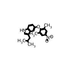 Cc1cc([N+](=O)[O-])cc(C)c1Oc1ccc2[nH]cc(CC(C)C)c2c1